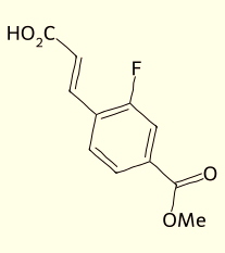 COC(=O)c1ccc(C=CC(=O)O)c(F)c1